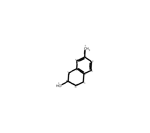 Cc1ccc2c(c1)CC(O)CC2